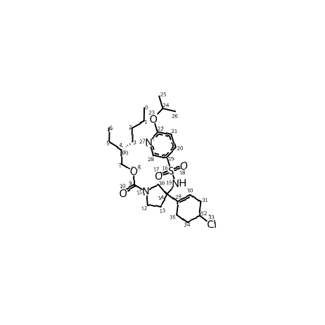 CCCC[C@@H](CC)COC(=O)N1CCC(NS(=O)(=O)c2ccc(OC(C)C)nc2)(C2=CCC(Cl)CC2)C1